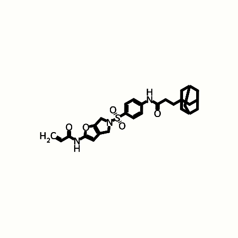 C=CC(=O)Nc1cc2c(o1)CN(S(=O)(=O)c1ccc(NC(=O)CCC34CC5CC(CC(C5)C3)C4)cc1)C2